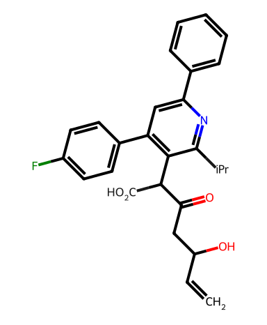 C=CC(O)CC(=O)C(C(=O)O)c1c(-c2ccc(F)cc2)cc(-c2ccccc2)nc1C(C)C